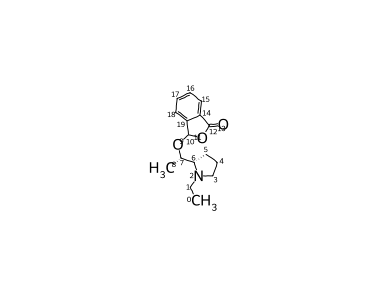 CCN1CCC[C@H]1[C@H](C)OC1OC(=O)c2ccccc21